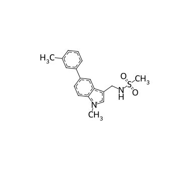 Cc1cccc(-c2ccc3c(c2)c(CNS(C)(=O)=O)cn3C)c1